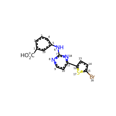 O=C(O)c1cccc(Nc2nccc(-c3ccc(Br)s3)n2)c1